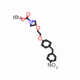 CC(C)(C)OC(=O)N1CC(OCCOc2ccc(Cc3ccc([N+](=O)[O-])cc3)cc2)C1